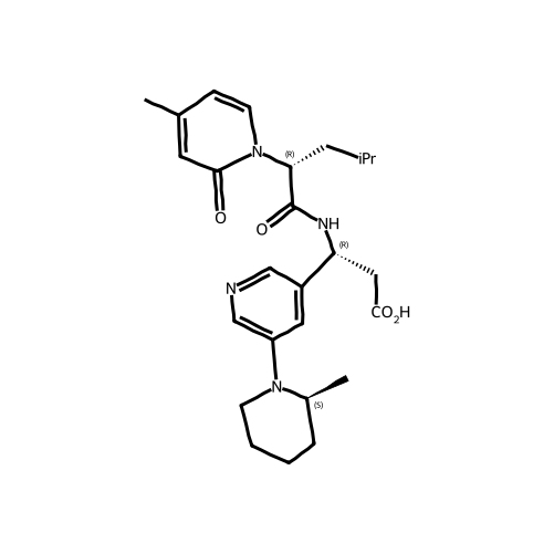 Cc1ccn([C@H](CC(C)C)C(=O)N[C@H](CC(=O)O)c2cncc(N3CCCC[C@@H]3C)c2)c(=O)c1